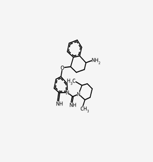 CC1CCCC(C)N1C(=N)n1cc(OC2CCC(N)c3ccccc32)ccc1=N